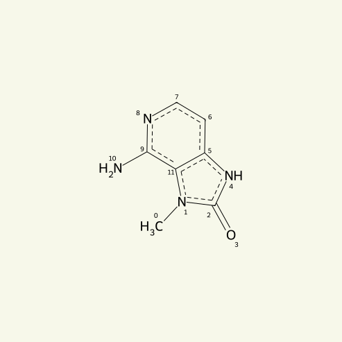 Cn1c(=O)[nH]c2ccnc(N)c21